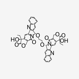 CC[C@@]1(O)C(=O)OCc2c1cc1n(c2=O)[C@@H](OCCO[C@H]2c3cc4ccccc4nc3-c3cc4c(c(=O)n32)COC(=O)[C@]4(O)CC)c2cc3ccccc3nc2-1